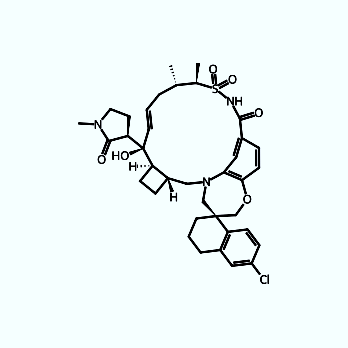 C[C@@H]1[C@@H](C)C/C=C/[C@@](O)([C@@H]2CCN(C)C2=O)[C@@H]2CC[C@H]2CN2C[C@@]3(CCCc4cc(Cl)ccc43)COc3ccc(cc32)C(=O)NS1(=O)=O